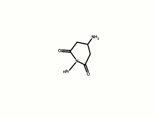 CCCN1C(=O)CC(N)CC1=O